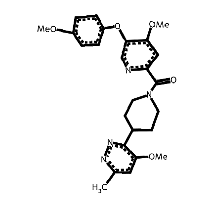 COc1ccc(Oc2cnc(C(=O)N3CCC(c4nnc(C)cc4OC)CC3)cc2OC)cc1